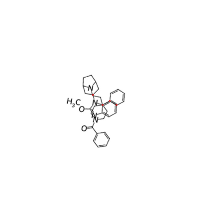 COc1nc2ccccc2n1C1CC2CCC(C1)N2CCC1(c2ccccc2)CCN(C(=O)c2ccccc2)CC1